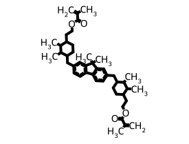 C=C(C)C(=O)OCCC1CCC(Cc2ccc3c(c2)C(C)(C)c2cc(CC4CCC(CCOC(=O)C(=C)C)C(C)C4C)ccc2-3)C(C)C1C